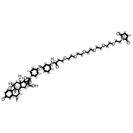 CC12C[C@@H]3OC45C=CC(=O)C=C4[C@@H](F)CC(C1CC1O[C@@H](c4ccc(Sc6cccc(NC(=O)CCOCCOCCOCCOCCOCCOCCN7C(=O)C=CC7=O)c6)cc4)OC12C(=O)CO)[C@]35F